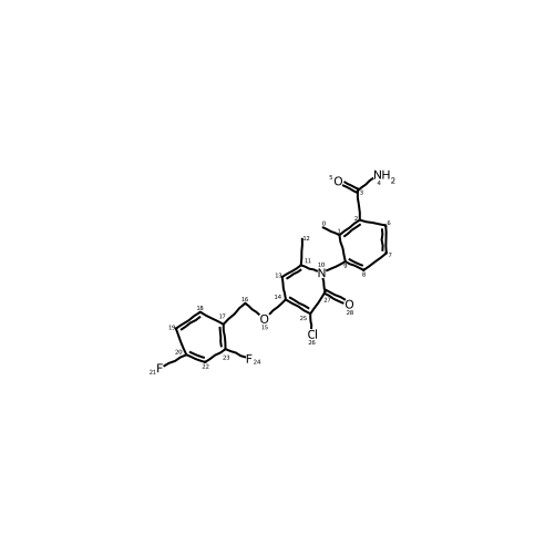 Cc1c(C(N)=O)cccc1-n1c(C)cc(OCc2ccc(F)cc2F)c(Cl)c1=O